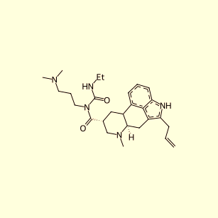 C=CCc1[nH]c2cccc3c2c1C[C@@H]1C3C[C@@H](C(=O)N(CCCN(C)C)C(=O)NCC)CN1C